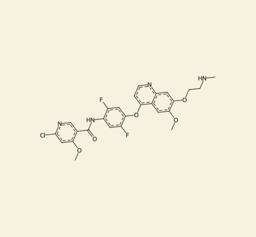 CNCCOc1cc2nccc(Oc3cc(F)c(NC(=O)c4cnc(Cl)cc4OC)cc3F)c2cc1OC